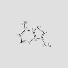 Cc1nsc2c(C(C)C)nncc12